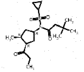 CCC(=O)[C@@H]1C[C@H](N(C(=O)CC(C)(C)C)S(=O)(=O)C2CC2)C[C@@H]1C